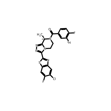 [2H]c1cc(C(=O)N2CCn3c(-c4nc5cc(Cl)c(F)cc5s4)nnc3[C@H]2C)ccc1F